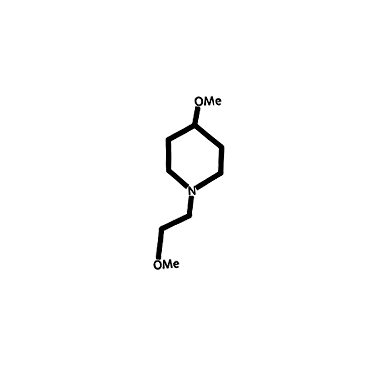 COCCN1CCC(OC)CC1